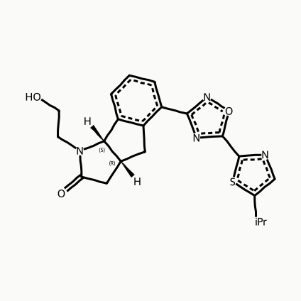 CC(C)c1cnc(-c2nc(-c3cccc4c3C[C@@H]3CC(=O)N(CCO)[C@H]43)no2)s1